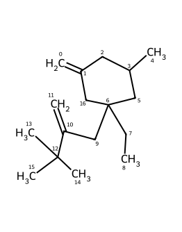 C=C1CC(C)CC(CC)(CC(=C)C(C)(C)C)C1